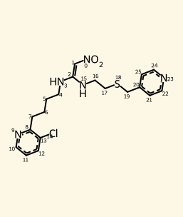 O=[N+]([O-])C=C(NCCCCc1ncccc1Cl)NCCSCc1ccncc1